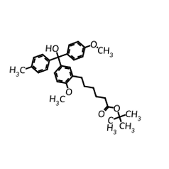 COc1ccc(C(O)(c2ccc(C)cc2)c2ccc(OC)c(CCCCCC(=O)OC(C)(C)C)c2)cc1